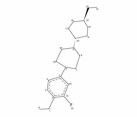 CCc1ccc(C2CCC([C@H]3CC[C@H](CC)CC3)CC2)cc1F